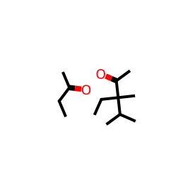 CCC(C)(C(C)=O)C(C)C.CCC(C)=O